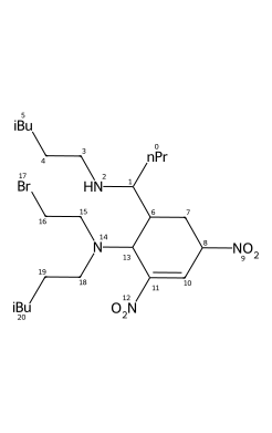 CCCC(NCCC(C)CC)C1CC([N+](=O)[O-])C=C([N+](=O)[O-])C1N(CCBr)CCC(C)CC